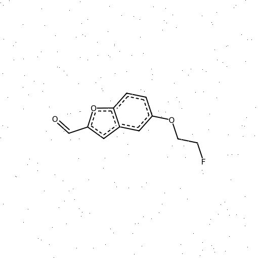 O=Cc1cc2cc(OCCF)ccc2o1